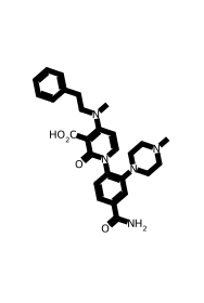 CN1CCN(c2cc(C(N)=O)ccc2-n2ccc(N(C)CCc3ccccc3)c(C(=O)O)c2=O)CC1